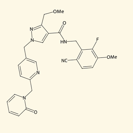 COCc1nn(Cc2ccc(Cn3ccccc3=O)nc2)cc1C(=O)NCc1c(C#N)ccc(OC)c1F